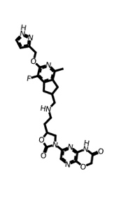 Cc1nc(OCc2cc[nH]n2)c(F)c2c1CC(CNCCC1CN(c3cnc4c(n3)NC(=O)CO4)C(=O)O1)C2